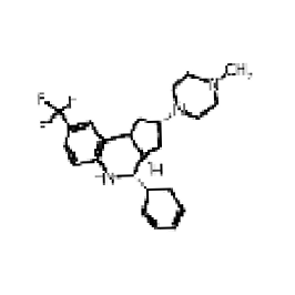 CN1CCN([C@H]2CC3c4cc(C(F)(F)F)ccc4N[C@@H](C4C=CC=CC4)[C@@H]3C2)CC1